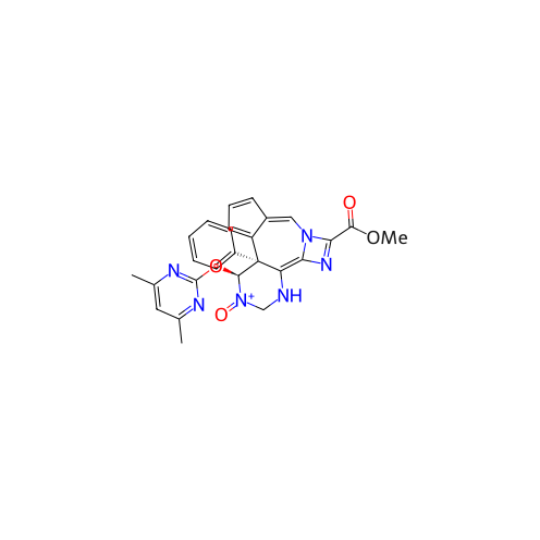 COC(=O)C1=NC2=C3NC[N+](=O)[C@@H](Oc4nc(C)cc(C)n4)[C@@]3(c3ccccc3)C3=CC=CC3=CN12